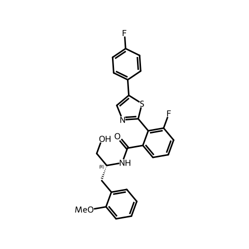 COc1ccccc1C[C@H](CO)NC(=O)c1cccc(F)c1-c1ncc(-c2ccc(F)cc2)s1